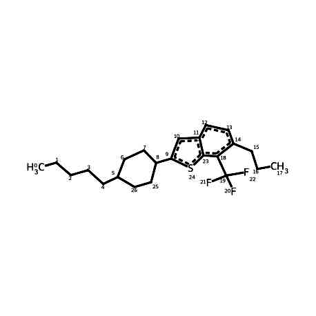 CCCCCC1CCC(c2cc3ccc(CCC)c(C(F)(F)F)c3s2)CC1